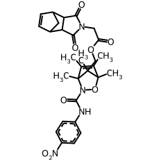 CC1=C(C)C2(C)N(C(=O)Nc3ccc([N+](=O)[O-])cc3)OC1(C)C2(C)COC(=O)CN1C(=O)C2C3C=CC(C3)C2C1=O